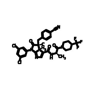 C[C@H](NC(=O)c1cnc2n1[C@](C)(Cc1ccc(C#N)cc1)C(=O)N2c1cc(Cl)cc(Cl)c1)C(=O)N1CCC(C(F)(F)F)CC1